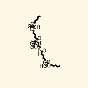 CCCCCOP(=O)(O)OCCCCC(=O)NCC(CNC(=O)CCCCOP(=O)(O)OCCCCC)OP(=O)(O)OC